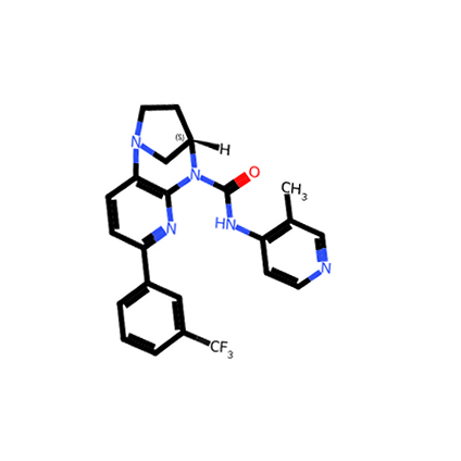 Cc1cnccc1NC(=O)N1c2nc(-c3cccc(C(F)(F)F)c3)ccc2N2CC[C@H]1C2